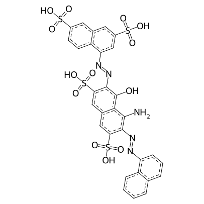 Nc1c(/N=N/c2cccc3ccccc23)c(S(=O)(=O)O)cc2cc(S(=O)(=O)O)c(/N=N/c3cc(S(=O)(=O)O)cc4cc(S(=O)(=O)O)ccc34)c(O)c12